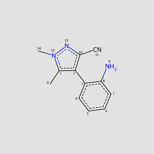 Cc1c(-c2ccccc2N)c(C#N)nn1C